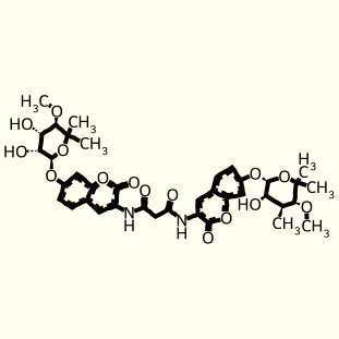 CO[C@@H]1[C@@H](C)[C@@H](O)[C@H](Oc2ccc3cc(NC(=O)CC(=O)Nc4cc5ccc(O[C@@H]6OC(C)(C)[C@H](OC)[C@@H](O)[C@H]6O)cc5oc4=O)c(=O)oc3c2)OC1(C)C